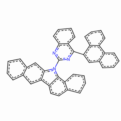 c1ccc2cc3c(cc2c1)c1ccc2ccccc2c1n3-c1nc(-c2cc3ccccc3c3ccccc23)c2ccccc2n1